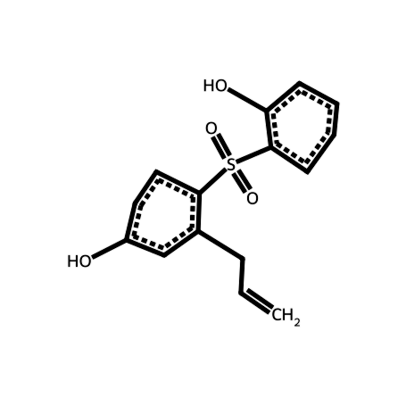 C=CCc1cc(O)ccc1S(=O)(=O)c1ccccc1O